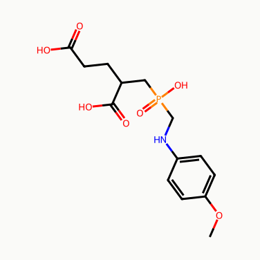 COc1ccc(NCP(=O)(O)CC(CCC(=O)O)C(=O)O)cc1